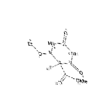 CCOC1NC(=O)NC(=O)C1(F)C(=O)OC